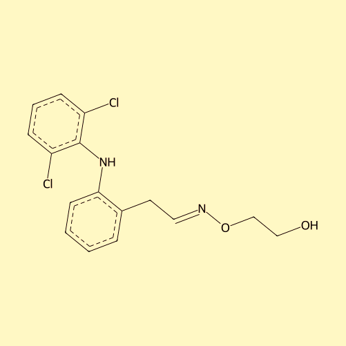 OCCON=CCc1ccccc1Nc1c(Cl)cccc1Cl